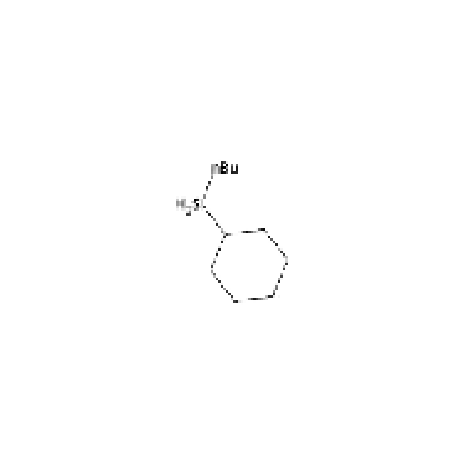 CCCC[SiH2][C]1CC[CH]CC1